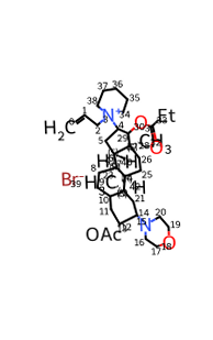 C=CC[N+]1(C2C[C@H]3[C@@H]4CCC5CC(OC(C)=O)C(N6CCOCC6)C[C@]5(C)[C@@H]4CC[C@]3(C)C2OC(=O)CC)CCCCC1.[Br-]